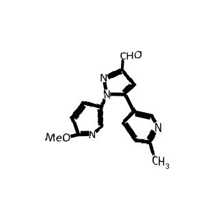 COc1ccc(-n2nc(C=O)cc2-c2ccc(C)nc2)cn1